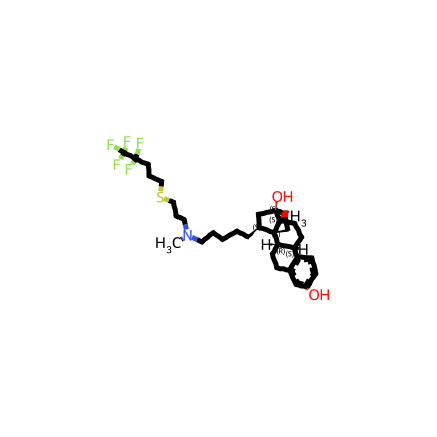 CN(CCCCC[C@H]1C[C@@]2(O)CC[C@@]13[C@@H]1CCc4cc(O)ccc4[C@H]1CC[C@]23C)CCCSCCCC(F)(F)C(F)(F)F